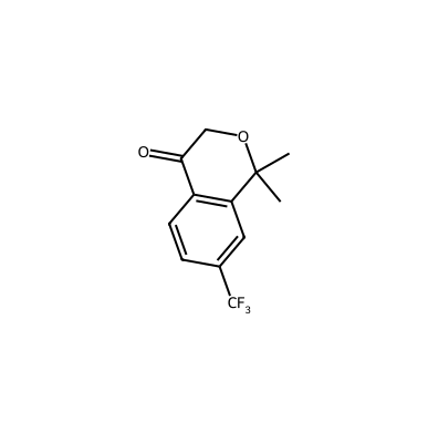 CC1(C)OCC(=O)c2ccc(C(F)(F)F)cc21